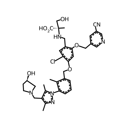 Cc1nn(-c2cccc(COc3cc(OCc4cncc(C#N)c4)c(CN[C@](C)(CO)C(=O)O)cc3Cl)c2C)c(C)c1CN1CC[C@@H](O)C1